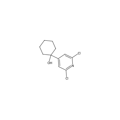 OC1(c2cc(Cl)nc(Cl)c2)CCCCC1